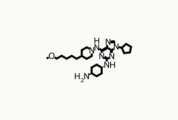 COCCCCCC1CCN(Nc2nc(N[C@H]3CC[C@H](N)CC3)nc3c2ncn3C2CCCC2)CC1